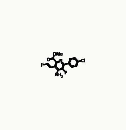 COC(=O)c1nc(-c2ccc(Cl)cc2)c(F)c(N)c1C=CF